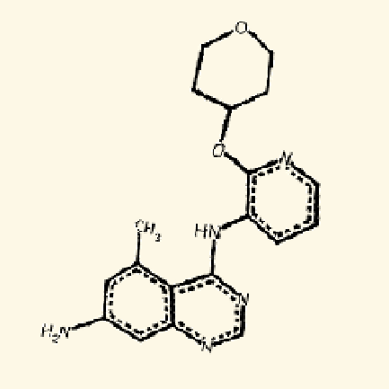 Cc1cc(N)cc2ncnc(Nc3cccnc3OC3CCOCC3)c12